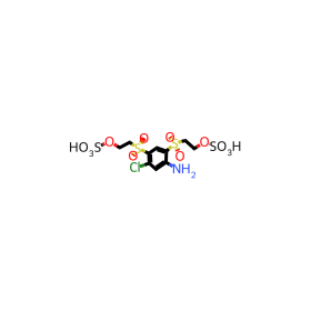 Nc1cc(Cl)c(S(=O)(=O)CCOS(=O)(=O)O)cc1S(=O)(=O)CCOS(=O)(=O)O